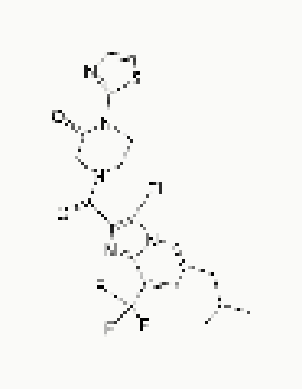 CC(C)Cc1cc(C(F)(F)F)c2nc(C(=O)N3CCN(c4nccs4)C(=O)C3)c(Cl)n2c1